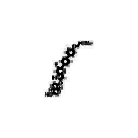 COCCOc1ccc(-c2ccc(-c3nc4cc(O[C@@H]5CO[C@H]6[C@@H]5OC[C@H]6O)[nH]c4cc3F)cc2)cn1